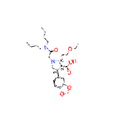 CCCCN(CCCC)C(=O)CN1C[C@H](c2ccc3c(c2)OCO3)[C@H](C(=O)O)[C@H]1CCOCC